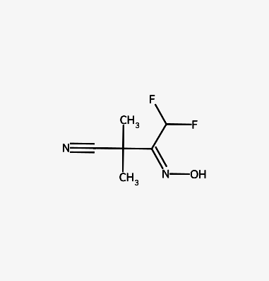 CC(C)(C#N)C(=NO)C(F)F